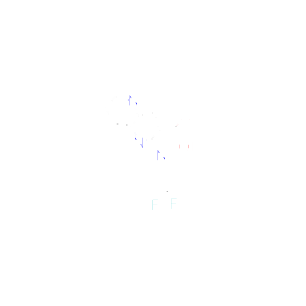 O=C(O)c1cc2ncccc2nc1N1CCCC(F)(F)CC1